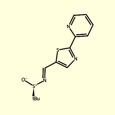 CC(C)(C)[S@@+]([O-])/N=C/c1cnc(-c2ccccn2)s1